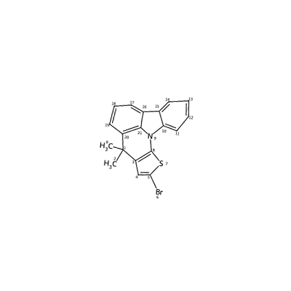 CC1(C)c2cc(Br)sc2-n2c3ccccc3c3cccc1c32